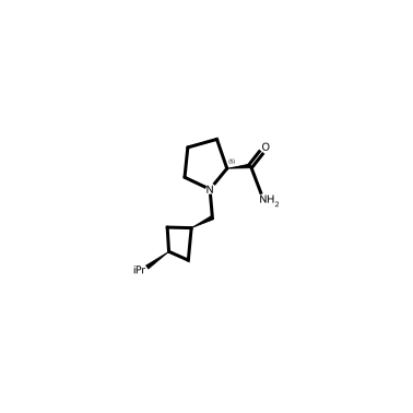 CC(C)[C@H]1C[C@@H](CN2CCC[C@H]2C(N)=O)C1